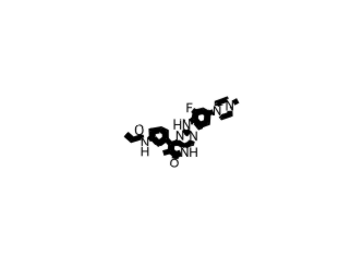 C=CC(=O)Nc1cccc(-c2c(C)c(=O)[nH]c3cnc(Nc4ccc(N5CCN(C)CC5)cc4F)nc23)c1